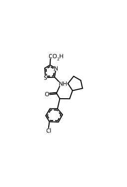 O=C(O)c1csc(NC(=O)C(CC2CCCC2)c2ccc(Cl)cc2)n1